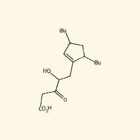 CCC(C)C1C=C(CC(O)C(=O)CC(=O)O)C(C(C)CC)C1